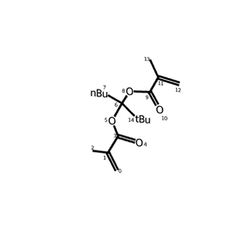 C=C(C)C(=O)OC(CCCC)(OC(=O)C(=C)C)C(C)(C)C